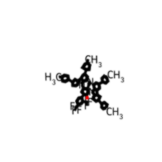 Cc1ccc(-c2ccc3c(c2)c2cc(-c4ccc(C)cc4)ccc2n3-c2cc(-c3ccc(C(F)(F)F)cc3C(F)(F)F)cc(-n3c4ccc(-c5ccc(C)cc5)cc4c4cc(-c5ccc(C)cc5)ccc43)c2C#N)cc1